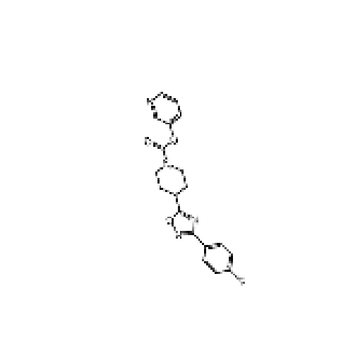 O=C(Oc1cccnc1)N1CCC(c2nc(-c3ccc(F)cc3)no2)CC1